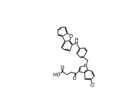 O=C(O)CCC(=O)c1cn(Cc2ccc(Nc3cccc4c3oc3ccccc34)cc2)c2ccc(Cl)cc12